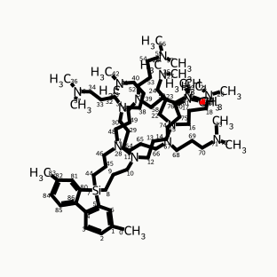 Cc1ccc2c(c1)[Si](CCCN(CCCN(CCCN(C)C)CCCN(C)C)CCCN(CCCN(C)C)CCCN(C)C)(CCCN(CCCN(CCCN(C)C)CCCN(C)C)CCCN(CCCN(C)C)CCCN(C)C)c1cc(C)ccc1-2